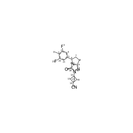 Cc1c(F)cc(C2CCc3nn(C45CC(C#N)(C4)C5)c(=O)n32)cc1F